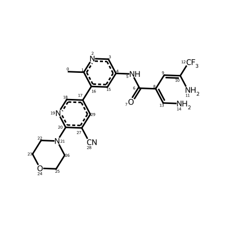 Cc1ncc(NC(=O)C(/C=C(\N)C(F)(F)F)=C/N)cc1-c1cnc(N2CCOCC2)c(C#N)c1